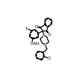 COc1cc(F)cc(C2(N3CCN(Cc4ccccc4Cl)CC3)C(=O)c3ccccc3C2=O)c1